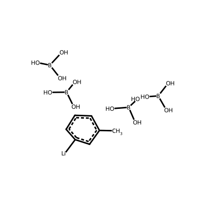 OB(O)O.OB(O)O.OB(O)O.OB(O)O.[Li][c]1cccc(C)c1